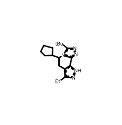 CCc1n[nH]c2c1CC(C1CCCC1)n1c-2nnc1C(C)(C)C